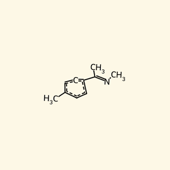 C/N=C(\C)c1ccc(C)cc1